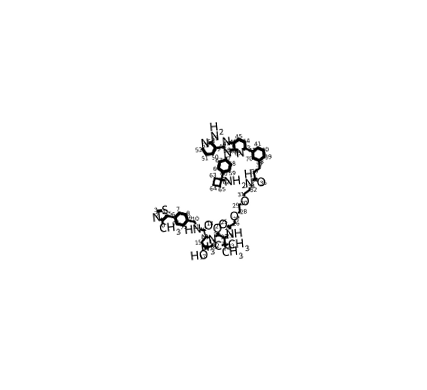 Cc1ncsc1-c1ccc(CNC(=O)[C@@H]2C[C@@H](O)CN2C(=O)C(NC(=O)COCCOCCNC(=O)CCc2cccc(-c3ccc4nc(-c5cccnc5N)n(-c5ccc(C6(N)CCC6)cc5)c4n3)c2)C(C)(C)C)cc1